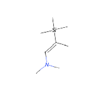 C/C(=C\N(C)C)[Si](C)(C)C